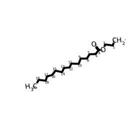 [CH2]CCOC(=O)CCCCCCCCCCCCCCC